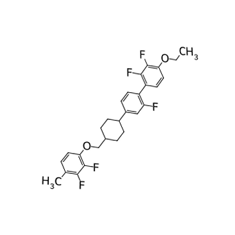 CCOc1ccc(-c2ccc(C3CCC(COc4ccc(C)c(F)c4F)CC3)cc2F)c(F)c1F